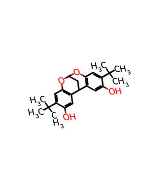 CC(C)(C)c1cc2c(cc1O)C1CC(O2)Oc2cc(C(C)(C)C)c(O)cc21